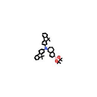 CC1(C)c2ccccc2-c2ccc(N(C3=Cc4ccc(B5OC(C)(C)C(C)(C)O5)cc4CC=C3)c3ccc4c(c3)C(C)(C)c3ccccc3-4)cc21